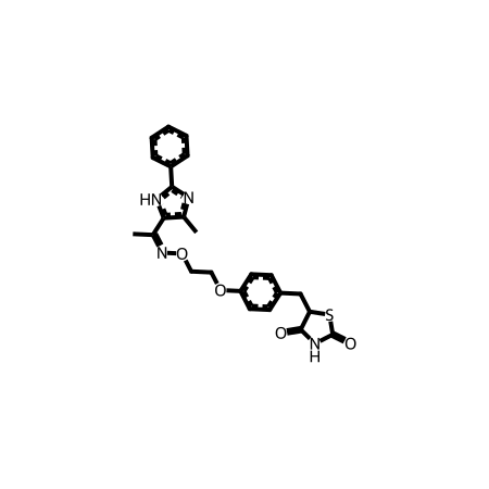 CC(=NOCCOc1ccc(CC2SC(=O)NC2=O)cc1)c1[nH]c(-c2ccccc2)nc1C